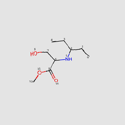 CCC(CC)NC(CO)C(=O)OC